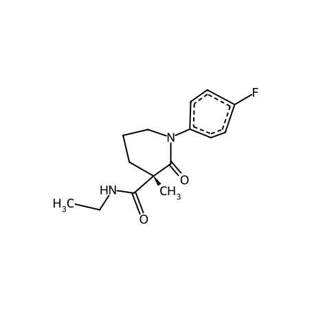 CCNC(=O)[C@]1(C)CCCN(c2ccc(F)cc2)C1=O